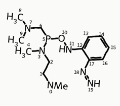 CNCCN(C)P(CN(C)C)ONc1ccccc1N=N